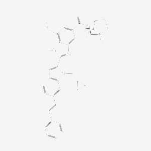 COc1cc(C(=O)N2C[C@H]3CCC2[C@H]3N)cc2nc(-c3cc4ccc(/C=C/c5ccccc5)cc4n3CC3CC3)n(C)c12